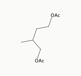 CC(=O)OCCC(C)COC(C)=O